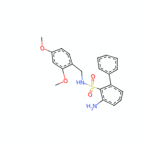 COc1ccc(CNS(=O)(=O)c2c(N)cccc2-c2ccccc2)c(OC)c1